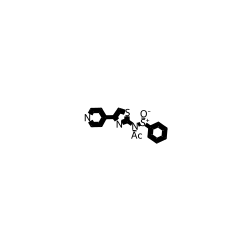 CC(=O)N(c1nc(-c2ccncc2)cs1)[S+]([O-])c1ccccc1